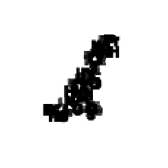 CC(C)C[C@@H](CO)NC(=O)c1c(-c2ccsc2)nc2c(C(=O)NCc3ccc4nc(C(C)C)[nH]c4c3)cccn12